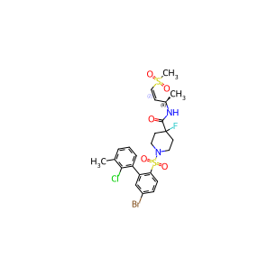 Cc1cccc(-c2cc(Br)ccc2S(=O)(=O)N2CCC(F)(C(=O)N[C@H](C)/C=C\S(C)(=O)=O)CC2)c1Cl